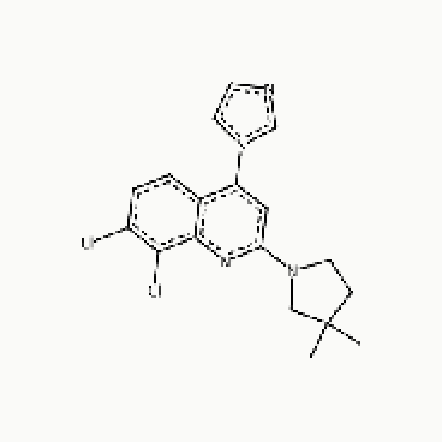 CC1(C)CCN(c2cc(-n3ccnc3)c3ccc(Cl)c(Cl)c3n2)C1